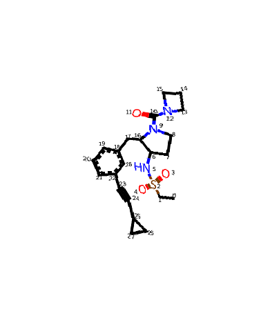 CCS(=O)(=O)NC1CCN(C(=O)N2CCC2)C1Cc1cccc(C#CC2CC2)c1